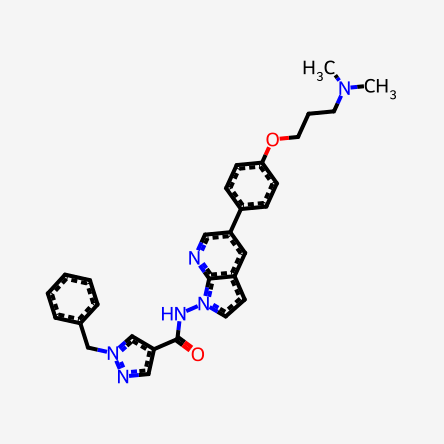 CN(C)CCCOc1ccc(-c2cnc3c(ccn3NC(=O)c3cnn(Cc4ccccc4)c3)c2)cc1